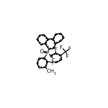 Cc1cccc(P(=O)(c2cccc(C(F)(F)F)c2F)c2cc3ccccc3c3ccccc23)c1F